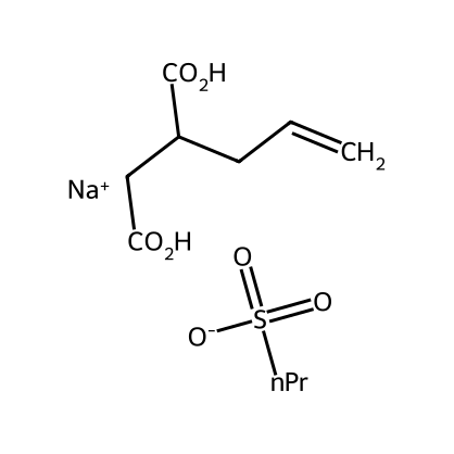 C=CCC(CC(=O)O)C(=O)O.CCCS(=O)(=O)[O-].[Na+]